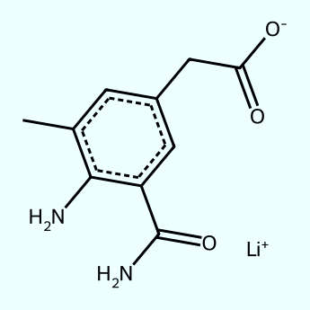 Cc1cc(CC(=O)[O-])cc(C(N)=O)c1N.[Li+]